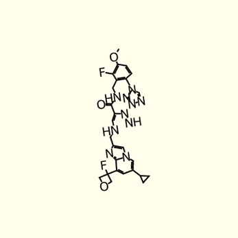 COc1ccc(-n2cnnn2)c(CNC(=O)/C(=C/NCc2cn3cc(C4CC4)cc(C4(F)COC4)c3n2)N=N)c1F